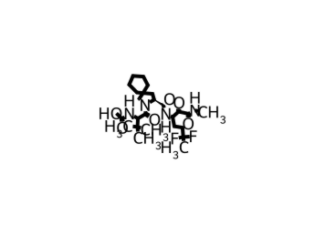 CNC(=O)C(=O)C(CCC(C)(F)F)NC(=O)[C@@H]1CC2(CCCCC2)CN1C(=O)C(NC(=O)O)C(C)(C)C